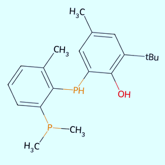 Cc1cc(Pc2c(C)cccc2P(C)C)c(O)c(C(C)(C)C)c1